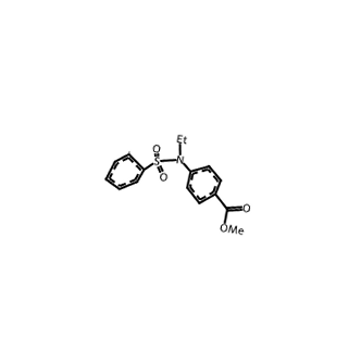 CCN(c1ccc(C(=O)OC)cc1)S(=O)(=O)c1[c]cccc1